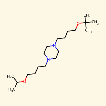 CC(C)OCCCCN1CCN(CCCCOC(C)(C)C)CC1